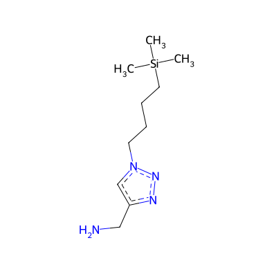 C[Si](C)(C)CCCCn1cc(CN)nn1